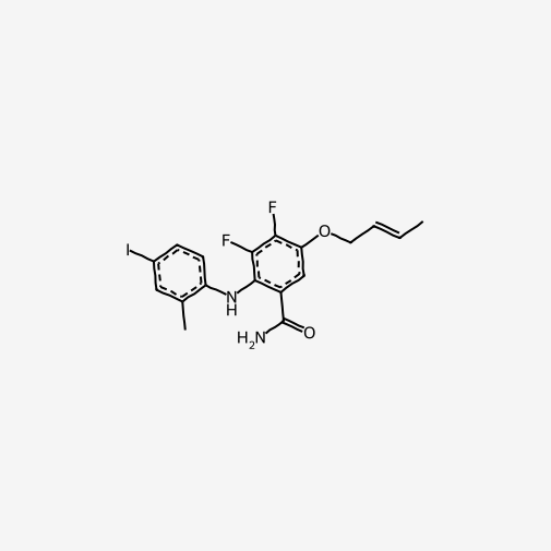 CC=CCOc1cc(C(N)=O)c(Nc2ccc(I)cc2C)c(F)c1F